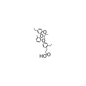 CCc1ccc(OC(C)CCOc2ccc(CCC(=O)O)c(CC)c2)c(Oc2ccccc2C)c1